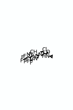 Cn1nc(C(F)(F)C(F)(F)F)c(C(F)(F)F)c1-n1cc(-n2cc(Cl)c(C(=O)NC3CC3)c2)cn1